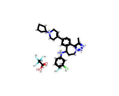 Cc1nnn2c1-c1ccc(C3=CCN(C4CCCC4)CC3)cc1C(Nc1ccc(F)c(Cl)c1)CC2.O=C(O)C(F)(F)F